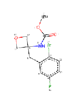 CC(C)(C)OC(=O)NC1(Cc2cc(F)ccc2Br)COC1